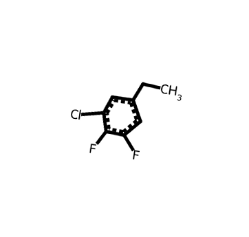 CCc1cc(F)c(F)c(Cl)c1